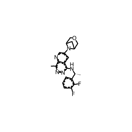 Cc1nnc(N[C@H](C)c2cccc(F)c2F)c2cc(N3C4COCC3C4)cnc12